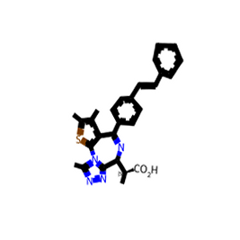 Cc1sc2c(c1C)C(c1ccc(C=Cc3ccccc3)cc1)=NC([C@H](C)C(=O)O)c1nnc(C)n1-2